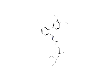 CCN(CC)CC(C)(C)COC(=O)/C=C/c1ccccc1-c1ccc(OC)c(OC)c1.Cl